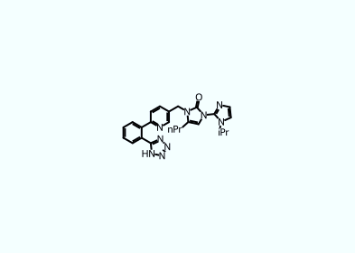 CCCc1cn(-c2nccn2C(C)C)c(=O)n1Cc1ccc(-c2ccccc2-c2nnn[nH]2)nc1